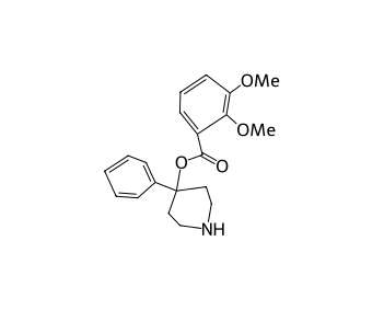 COc1cccc(C(=O)OC2(c3ccccc3)CCNCC2)c1OC